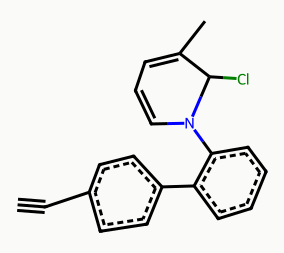 C#Cc1ccc(-c2ccccc2N2C=CC=C(C)C2Cl)cc1